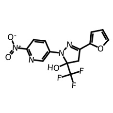 O=[N+]([O-])c1ccc(N2N=C(c3ccco3)CC2(O)C(F)(F)F)cn1